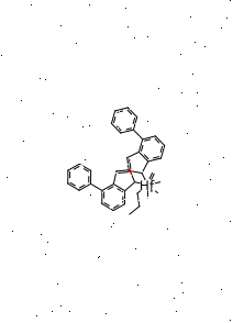 [CH2]=[Hf]([CH3])([CH3])([CH3])([CH2]CC)([CH]1C=Cc2c(-c3ccccc3)cccc21)[CH]1C=Cc2c(-c3ccccc3)cccc21